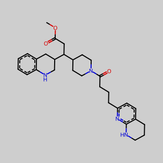 COC(=O)CC(C1CCN(C(=O)CCCc2ccc3c(n2)NCCC3)CC1)C1CNc2ccccc2C1